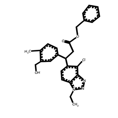 CCn1nnc2c(Cl)c(C(CC(=O)OCc3ccccc3)c3ccc(C)c(CO)c3)ccc21